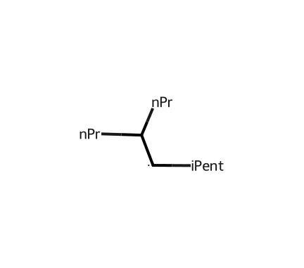 CCCC(C)[CH]C(CCC)CCC